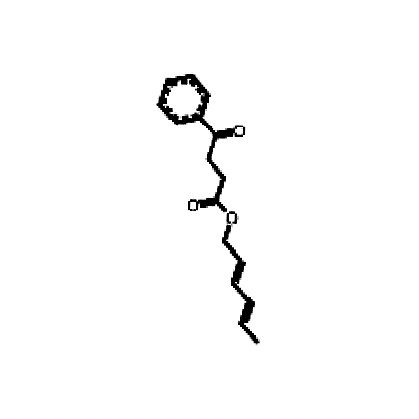 C/C=C/C=C/COC(=O)CCC(=O)c1ccccc1